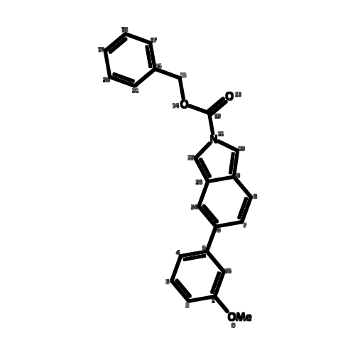 COc1cccc(-c2ccc3cn(C(=O)OCc4ccccc4)cc3c2)c1